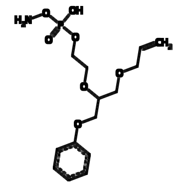 C=CCOCC(COc1ccccc1)OCCOP(=O)(O)ON